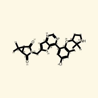 Cc1cc(Cl)cc(-c2ncnc3cc(CN4C(=O)C5C(C4=O)C5(C)C)sc23)c1OC1CCNC1(C)C